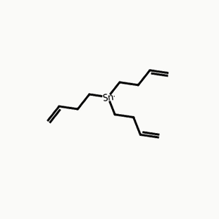 C=CC[CH2][Sn]([CH2]CC=C)[CH2]CC=C